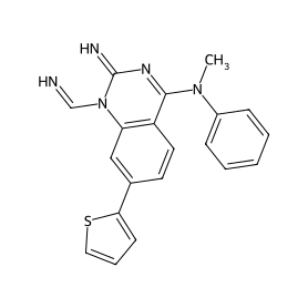 CN(c1ccccc1)c1nc(=N)n(C=N)c2cc(-c3cccs3)ccc12